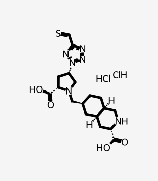 Cl.Cl.O=C(O)[C@@H]1C[C@H]2C[C@@H](CN3C[C@@H](n4nnc(C=S)n4)C[C@H]3C(=O)O)CC[C@H]2CN1